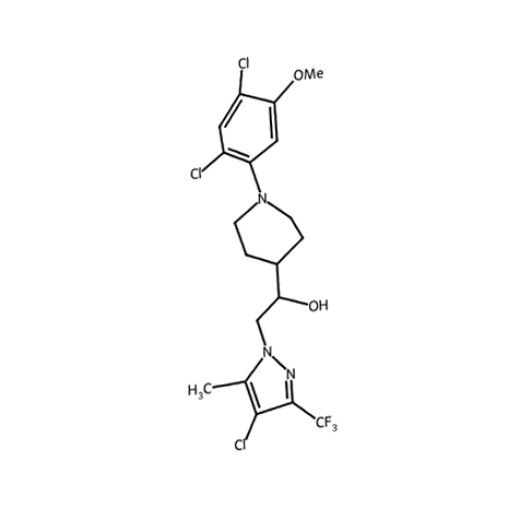 COc1cc(N2CCC(C(O)Cn3nc(C(F)(F)F)c(Cl)c3C)CC2)c(Cl)cc1Cl